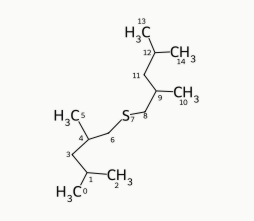 CC(C)CC(C)CSCC(C)CC(C)C